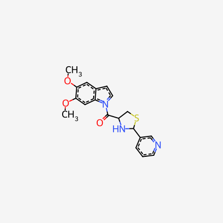 COc1cc2ccn(C(=O)C3CSC(c4cccnc4)N3)c2cc1OC